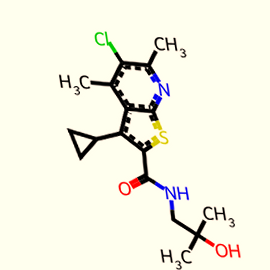 Cc1nc2sc(C(=O)NCC(C)(C)O)c(C3CC3)c2c(C)c1Cl